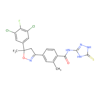 Cc1cc(C2=NOC(c3cc(Cl)c(F)c(Cl)c3)(C(F)(F)F)C2)ccc1C(=O)Nc1n[nH]c(=S)[nH]1